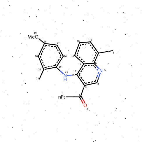 CCCC(=O)c1cnc2c(C)cccc2c1Nc1ccc(OC)cc1C